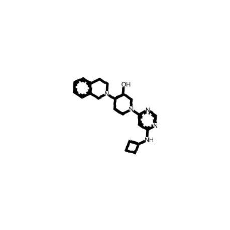 OC1CN(c2cc(NC3CCC3)ncn2)CCC1N1CCc2ccccc2C1